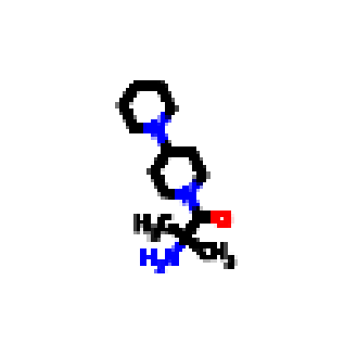 CC(C)(N)C(=O)N1CCC(N2CCCCC2)CC1